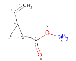 C=CC1CC1C(=O)ON